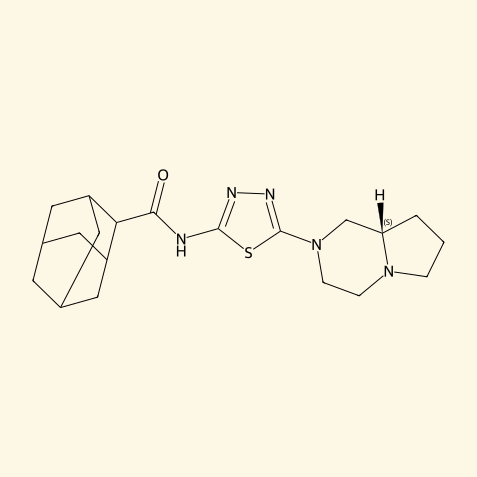 O=C(Nc1nnc(N2CCN3CCC[C@H]3C2)s1)C1C2CC3CC(C2)CC1C3